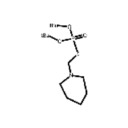 CC(C)(C)OP(=O)(OC(C)(C)C)SCN1CCCCC1